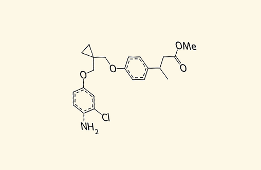 COC(=O)CC(C)c1ccc(OCC2(COc3ccc(N)c(Cl)c3)CC2)cc1